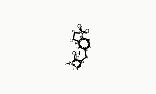 Cn1ncc(Cc2ccc3c(c2)CCS3(=O)=O)c1O